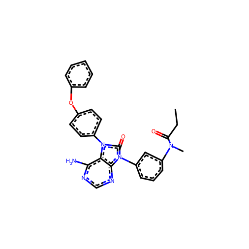 CCC(=O)N(C)c1cccc(-n2c(=O)n(-c3ccc(Oc4ccccc4)cc3)c3c(N)ncnc32)c1